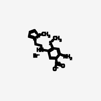 CSc1cc(N)c([N+](=O)[O-])cc1NCC[n+]1cccn1C.[Br-]